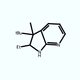 CCC1Nc2ncccc2C1(C)C(C)(C)C